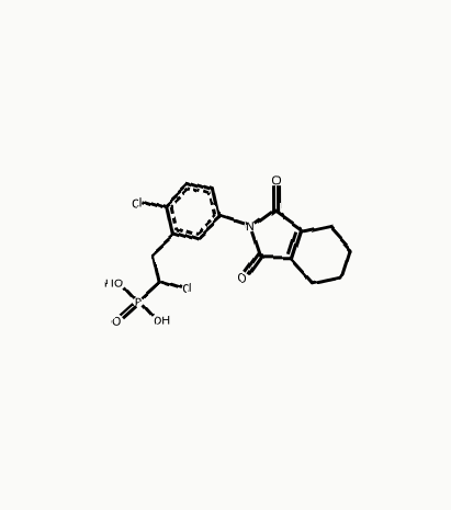 O=C1C2=C(CCCC2)C(=O)N1c1ccc(Cl)c(CC(Cl)P(=O)(O)O)c1